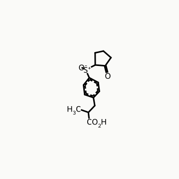 CC(Cc1ccc([S+]([O-])C2CCCC2=O)cc1)C(=O)O